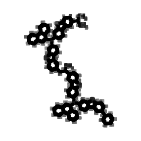 CC(C)c1ccc2oc3cc(N(c4ccc5c(c4)oc4ccc(CC(C)c6ccc7oc8cc(N(c9ccc%10c(c9)oc9ccc(-c%11ccccc%11)cc9%10)c9cc%10ccccc%10c%10ccccc9%10)ccc8c7c6)cc45)c4cc5ccccc5c5ccccc45)ccc3c2c1